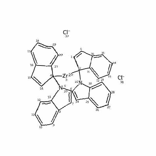 C1=C[C]([Zr+2][C]2(n3ccc4ccccc43)C=Cc3ccccc32)(n2ccc3ccccc32)c2ccccc21.[Cl-].[Cl-]